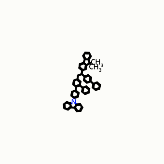 CC1(C)c2ccccc2-c2ccc(C(Cc3ccc(-c4ccc(-n5c6ccccc6c6ccccc65)cc4)c(-c4ccccc4)c3)c3ccc(-c4ccccc4)cc3)cc21